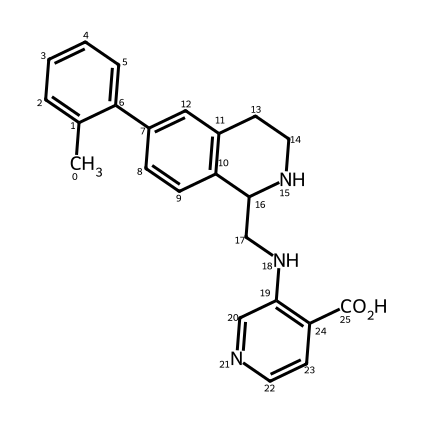 Cc1ccccc1-c1ccc2c(c1)CCNC2CNc1cnccc1C(=O)O